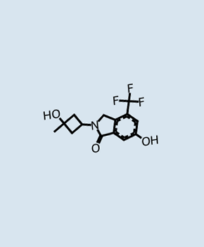 CC1(O)CC(N2Cc3c(cc(O)cc3C(F)(F)F)C2=O)C1